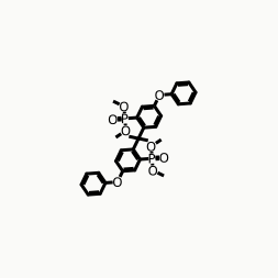 COP(=O)(OC)c1cc(Oc2ccccc2)ccc1C(C)(C)c1ccc(Oc2ccccc2)cc1P(=O)(OC)OC